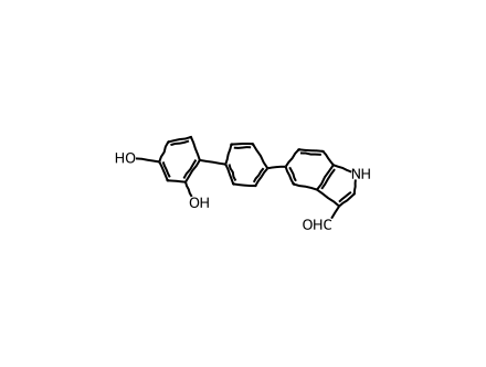 O=Cc1c[nH]c2ccc(-c3ccc(-c4ccc(O)cc4O)cc3)cc12